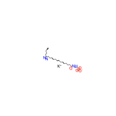 C#CCCCC1(CCC=CCC=CCC=CCCCC(=O)NCCS(=O)(=O)[O-])N=N1.[K+]